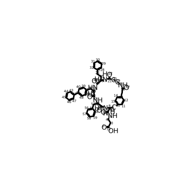 O=C(O)CCNC(=O)[C@@H]1Cc2ccc(cc2)C(=O)NCCC(=O)N[C@H](CCc2ccccc2)C(=O)N[C@@H](Cc2ccc(-c3ccccc3)cc2)C(=O)N[C@H](Cc2ccccc2)C(=O)N1